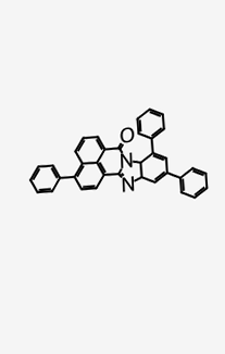 O=c1c2cccc3c(-c4ccccc4)ccc(c4n1C1C(c5ccccc5)=CC(c5ccccc5)=CC1N=4)c32